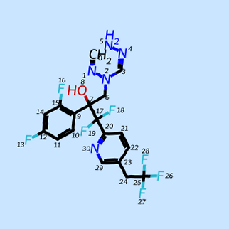 C=NN(/C=N\N)CC(O)(c1ccc(F)cc1F)C(F)(F)c1ccc(CC(F)(F)F)cn1